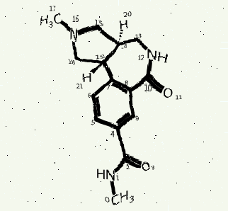 CNC(=O)c1ccc2c(c1)C(=O)NC[C@@H]1CN(C)C[C@@H]21